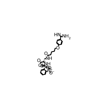 N=C(N)c1ccc(OCCCCC(=O)NC[C@H](NS(=O)(=O)c2ccccc2[N+](=O)[O-])C(=O)O)cc1